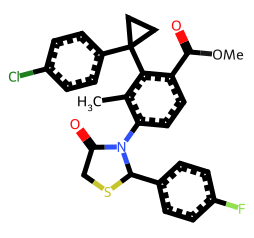 COC(=O)c1ccc(N2C(=O)CSC2c2ccc(F)cc2)c(C)c1C1(c2ccc(Cl)cc2)CC1